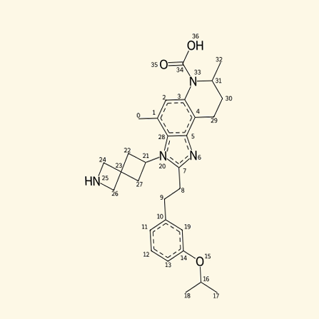 Cc1cc2c(c3nc(CCc4cccc(OC(C)C)c4)n(C4CC5(CNC5)C4)c13)CCC(C)N2C(=O)O